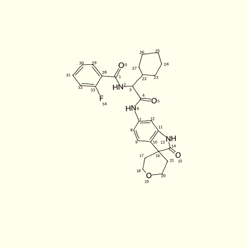 O=C(NC(C(=O)Nc1ccc2c(c1)NC(=O)C21CCOCC1)C1CCCCC1)c1ccccc1F